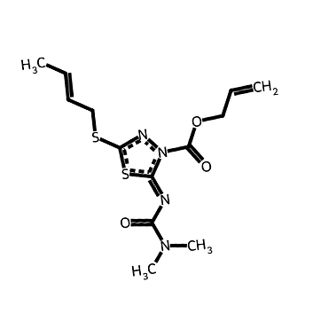 C=CCOC(=O)n1nc(SCC=CC)sc1=NC(=O)N(C)C